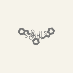 O=S(=O)(Nc1ccccc1NCc1cc2ccccc2s1)c1cc2ccccc2s1